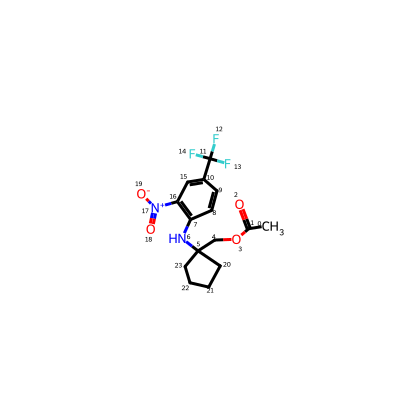 CC(=O)OCC1(Nc2ccc(C(F)(F)F)cc2[N+](=O)[O-])CCCC1